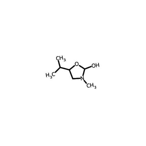 CC(C)C1CN(C)C(O)O1